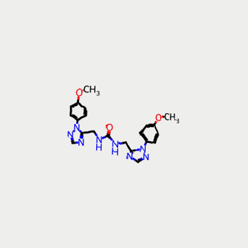 COc1ccc(-n2ncnc2CNC(=O)NCc2ncnn2-c2ccc(OC)cc2)cc1